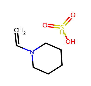 C=CN1CCCCC1.O=[SH](=O)O